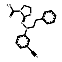 N#Cc1cccc(N(CCc2ccccc2)N=C2SCCN2C(N)=S)c1